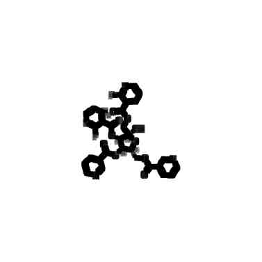 C=C(OC[C@@]1(O)O[C@H](COC(=O)c2cccnc2)[C@@H](OC(=O)c2cccnc2)[C@@H]1OC(=O)c1cccnc1F)c1cccnc1F